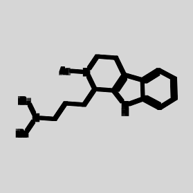 CCC(C)N(CCCC1c2[nH]c3ccccc3c2CCN1C(C)=O)C(C)CC